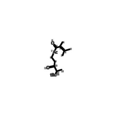 CC(C)=C(C)[C](=O)[Ac][CH2]CC(=O)C(C)C(C)(C)C